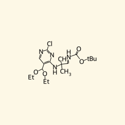 CCOC(OCC)c1cnc(Cl)nc1NC(C)(C)CNC(=O)OC(C)(C)C